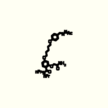 CCCN(CCC)C(=O)c1ccc(OCCCCCOc2ccc(CN=NC(C)=O)cc2)cc1OCC(N)=O